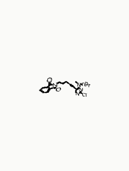 CCCN(C)c1nc(Cl)ncc1C#CCCCN1C(=O)c2ccccc2C1=O